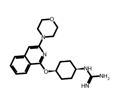 N=C(N)N[C@H]1CC[C@@H](Oc2nc(N3CCOCC3)cc3ccccc23)CC1